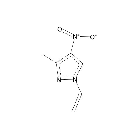 C=Cn1cc([N+](=O)[O-])c(C)n1